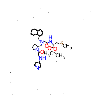 CSCC[C@H](NC(=O)CN(Cc1cccc2ccccc12)C[C@@H]1CCCN1C(=O)CNc1ccncc1)C(=O)OC(C)C